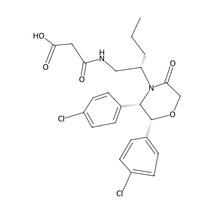 CCC[C@@H](CNC(=O)CC(=O)O)N1C(=O)CO[C@H](c2ccc(Cl)cc2)[C@@H]1c1ccc(Cl)cc1